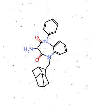 NC1C(=O)N(CC2C3CC4CC(C3)CC2C4)c2ccccc2N(c2ccccc2)C1=O